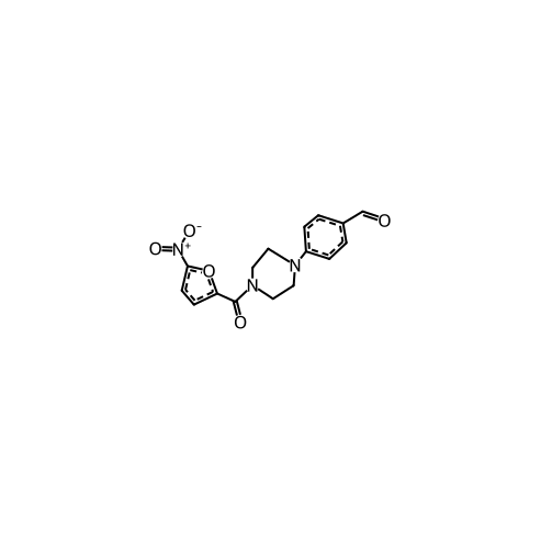 O=Cc1ccc(N2CCN(C(=O)c3ccc([N+](=O)[O-])o3)CC2)cc1